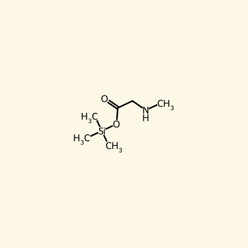 CNCC(=O)O[Si](C)(C)C